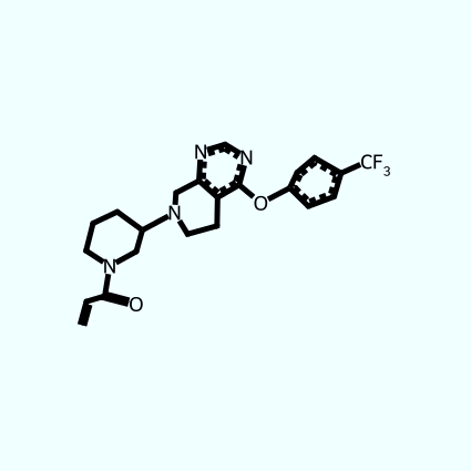 C=CC(=O)N1CCCC(N2CCc3c(ncnc3Oc3ccc(C(F)(F)F)cc3)C2)C1